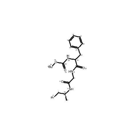 CC(C)C[C@H](C)NC(=O)CNC(=O)C(Cc1ccccc1)NC(=O)OC(C)(C)C